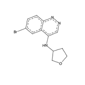 Brc1ccc2nncc(NC3CCOC3)c2c1